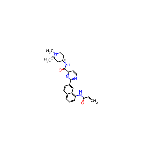 C=CC(=O)Nc1cccc2ccc(-c3nccc(C(=O)N[C@@H]4CCN(C)[C@@H](C)C4)n3)cc12